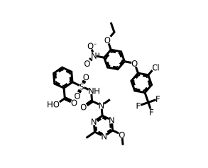 CCOc1cc(Oc2ccc(C(F)(F)F)cc2Cl)ccc1[N+](=O)[O-].COc1nc(C)nc(N(C)C(=O)NS(=O)(=O)c2ccccc2C(=O)O)n1